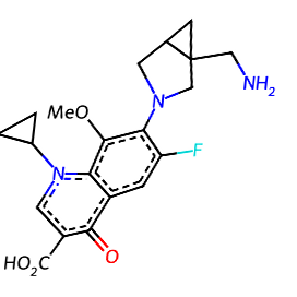 COc1c(N2CC3CC3(CN)C2)c(F)cc2c(=O)c(C(=O)O)cn(C3CC3)c12